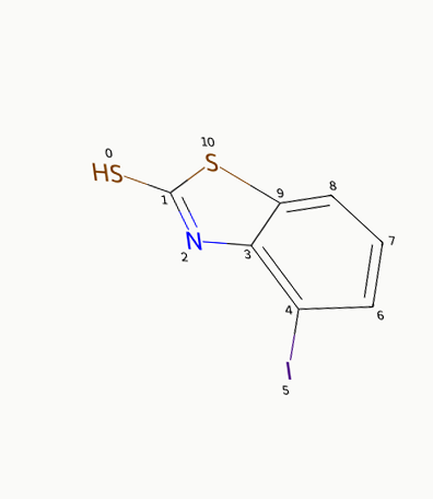 Sc1nc2c(I)cccc2s1